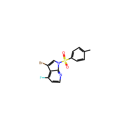 Cc1ccc(S(=O)(=O)n2cc(Br)c3c(F)ccnc32)cc1